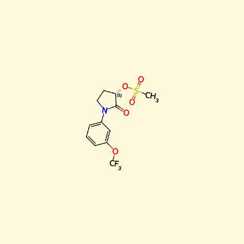 CS(=O)(=O)O[C@H]1CCN(c2cccc(OC(F)(F)F)c2)C1=O